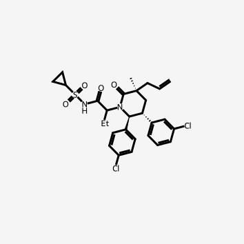 C=CC[C@@]1(C)C[C@H](c2cccc(Cl)c2)[C@@H](c2ccc(Cl)cc2)N(C(CC)C(=O)NS(=O)(=O)C2CC2)C1=O